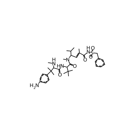 CNC(C(=O)NC(C(=O)N(C)C(/C=C(\C)C(=O)NS(=O)(=O)Cc1ccccc1)C(C)C)C(C)(C)C)C(C)(C)c1ccc(N)cc1